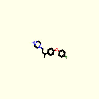 CC(CCN1CCNCC1)c1ccc(Oc2ccc(F)cc2)cc1